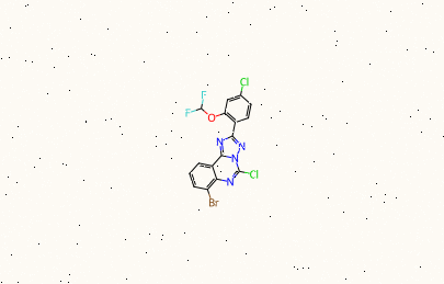 FC(F)Oc1cc(Cl)ccc1-c1nc2c3cccc(Br)c3nc(Cl)n2n1